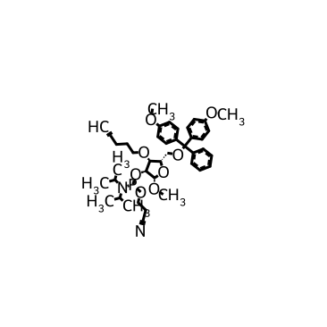 C#CCCCO[C@@H]1[C@H](OP(OCCC#N)N(C(C)C)C(C)C)[C@@H](OC)O[C@H]1COC(c1ccccc1)(c1ccc(OC)cc1)c1ccc(OC)cc1